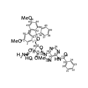 COc1ccc(C(OC[C@H]2O[C@@H](n3cnc4c(NC(=O)c5ccccc5)ncnc43)[C@H](OC)[C@@H]2OP(N)O)(c2ccccc2)c2ccc(OC)cc2)cc1